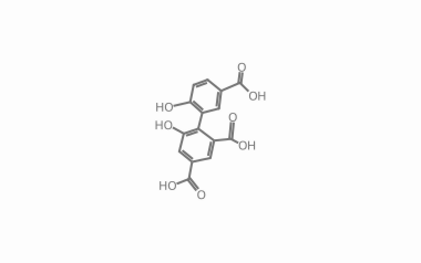 O=C(O)c1cc(O)c(-c2cc(C(=O)O)ccc2O)c(C(=O)O)c1